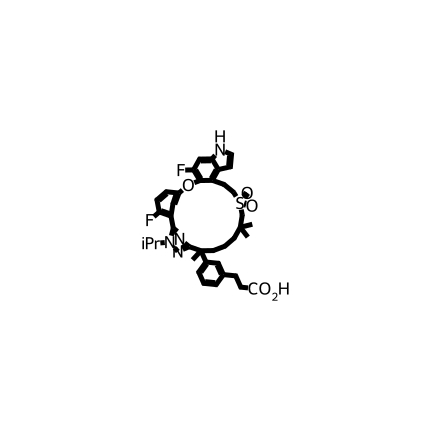 CC(C)n1nc2nc1-c1cc(ccc1F)Oc1c(F)cc3[nH]ccc3c1CCS(=O)(=O)CC(C)(C)CCCC2(C)c1cccc(CCC(=O)O)c1